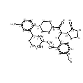 CC(C)CC(NC(C)O)c1cc(F)ccc1N1CCN(C(=O)C(Cc2ccc(Cl)cc2Cl)N2CCCC2=O)CC1